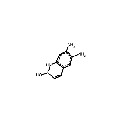 Nc1cc2c(cc1N)NN(O)C=C2